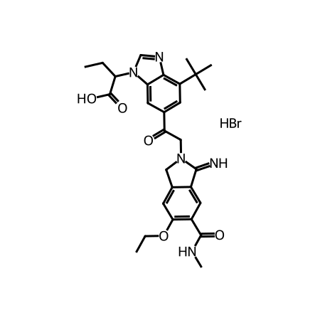 Br.CCOc1cc2c(cc1C(=O)NC)C(=N)N(CC(=O)c1cc(C(C)(C)C)c3ncn(C(CC)C(=O)O)c3c1)C2